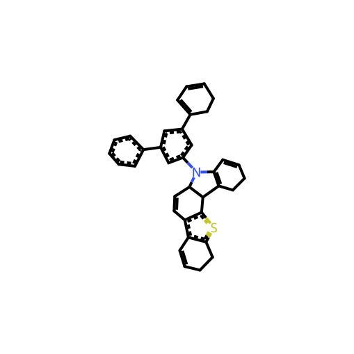 C1=CCCC(c2cc(-c3ccccc3)cc(N3C4=C(CCC=C4)C4c5sc6c(c5C=CC43)C=CCC6)c2)=C1